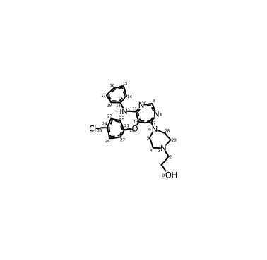 OCCN1CCN(c2ncnc(Nc3ccccc3)c2Oc2ccc(Cl)cc2)CC1